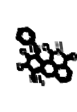 NC1=c2cc3cccc4c3c(c2=C(Nc2ccccc2)C(=O)C1=O)C(=O)NC4=O